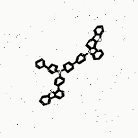 c1ccc(-c2ccc(N(c3ccc(-c4ccc(-n5c6ccccc6c6c7oc8ccccc8c7ccc65)cc4)cc3)c3ccc(-c4cccc5c4sc4ccccc45)cc3)cc2)cc1